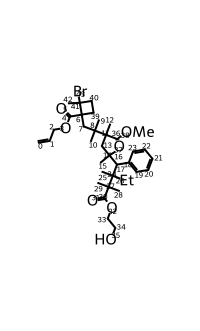 C=CCOC(=O)C1(CC(C)(C)C(C)(CC(C)(C)C(c2ccccc2)C(C)(CC)C(C)(C)C(=O)OCCO)C(=O)OC)CCC1(C)Br